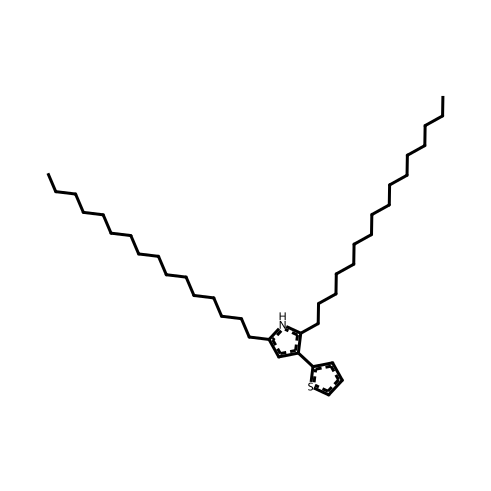 CCCCCCCCCCCCCCCCc1cc(-c2cccs2)c(CCCCCCCCCCCCCCCC)[nH]1